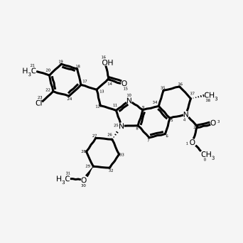 COC(=O)N1c2ccc3c(nc(CC(C(=O)O)c4ccc(C)c(Cl)c4)n3[C@H]3CC[C@H](OC)CC3)c2CC[C@@H]1C